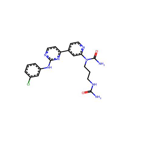 NC(=O)NCCCN(C(N)=O)c1cc(-c2ccnc(Nc3cccc(Cl)c3)n2)ccn1